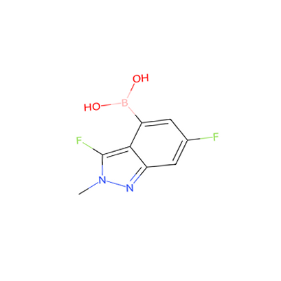 Cn1nc2cc(F)cc(B(O)O)c2c1F